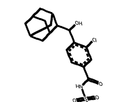 CS(=O)(=O)NC(=O)c1ccc(C(O)C2C3CC4CC(C3)CC2C4)c(Cl)c1